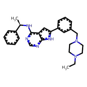 CCN1CCN(Cc2cccc(-c3cc4c(N[C@H](C)c5ccccc5)ncnc4[nH]3)c2)CC1